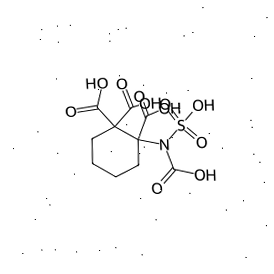 O=C(O)N(C1(C(=O)O)CCCCC1(C(=O)O)C(=O)O)S(=O)(=O)O